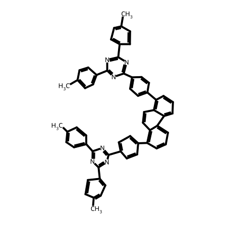 Cc1ccc(-c2nc(-c3ccc(C)cc3)nc(-c3ccc(-c4cccc5c4ccc4c(-c6ccc(-c7nc(-c8ccc(C)cc8)nc(-c8ccc(C)cc8)n7)cc6)cccc45)cc3)n2)cc1